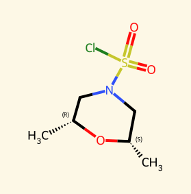 C[C@@H]1CN(S(=O)(=O)Cl)C[C@H](C)O1